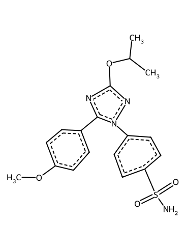 COc1ccc(-c2nc(OC(C)C)nn2-c2ccc(S(N)(=O)=O)cc2)cc1